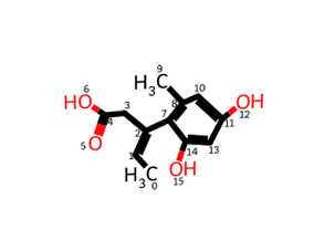 C/C=C(/CC(=O)O)c1c(C)cc(O)cc1O